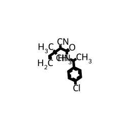 C=CC(C)(C)C(C#N)C(=O)NC(C)c1ccc(Cl)cc1